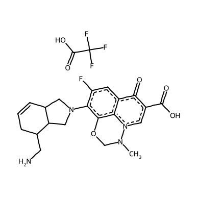 CN1COc2c(N3CC4C=CCC(CN)C4C3)c(F)cc3c(=O)c(C(=O)O)cn1c23.O=C(O)C(F)(F)F